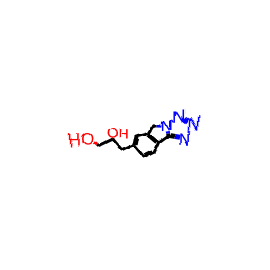 OCC(O)Cc1ccc2c(c1)Cn1nnnc1-2